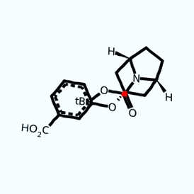 CC(C)(C)OC(=O)N1[C@@H]2CC[C@H]1C[C@@H](Oc1cccc(C(=O)O)c1)C2